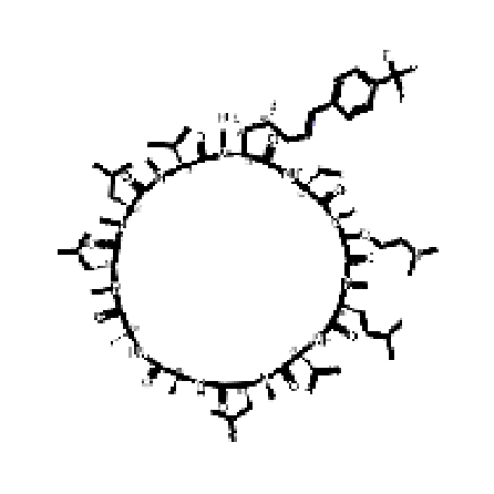 C=C(C)[C@@H]1NC(=O)[C@H](CCC(C)C)N(C)C(=O)C(OCCN(C)C)N(C)C(=O)[C@H](CC)NC(=O)[C@H]([C@H](O)[C@H](C)C/C=C/c2ccc(C(F)(F)F)cc2)N(C)C(=O)[C@H](C(C)C)N(C)C(=O)[C@H](CC(C)C)N(C)C(=O)[C@H](CC(C)C)N(C)C(=O)[C@@H](C)NC(=O)[C@H](C)NC(=O)[C@H](CC(C)C)N(C)C1=O